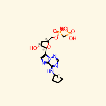 O=P(O)(O)CP(=O)(O)OC[C@@H]1C[C@@H](O)[C@H](c2cnc3c(NC4CCCC4)ncnn23)O1